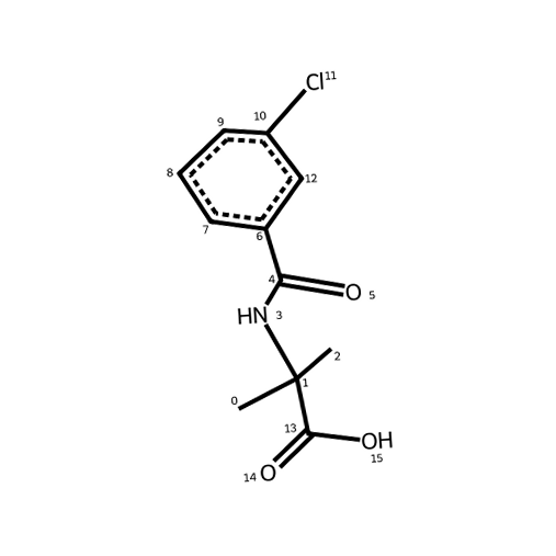 CC(C)(NC(=O)c1cccc(Cl)c1)C(=O)O